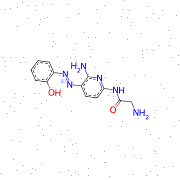 NCC(=O)Nc1ccc(/N=N/c2ccccc2O)c(N)n1